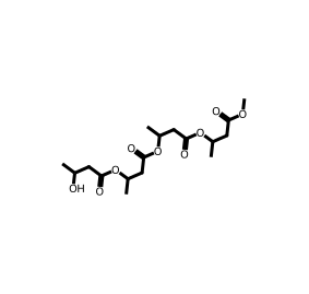 COC(=O)CC(C)OC(=O)CC(C)OC(=O)CC(C)OC(=O)CC(C)O